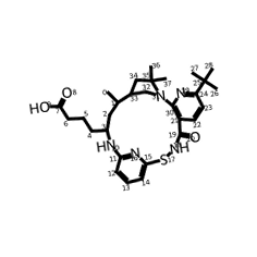 CC1CC(CCCC(=O)O)Nc2cccc(n2)SNC(=O)c2ccc(C(C)(C)C)nc2N2CC1CC2(C)C